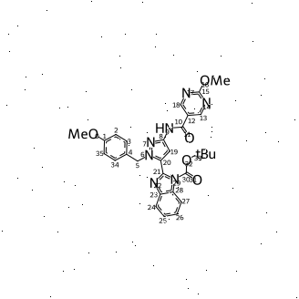 COc1ccc(Cn2nc(NC(=O)c3cnc(OC)nc3)cc2-c2nc3ccccc3n2C(=O)OC(C)(C)C)cc1